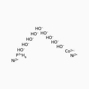 [Co+2].[Ni+2].[Ni+2].[OH-].[OH-].[OH-].[OH-].[OH-].[OH-].[OH-].[OH-].[OH-].[PH6+3]